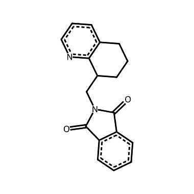 O=C1c2ccccc2C(=O)N1CC1CCCc2cccnc21